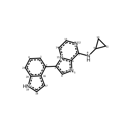 c1cc(-c2cnc3c(NC4CC4)nccn23)c2cc[nH]c2c1